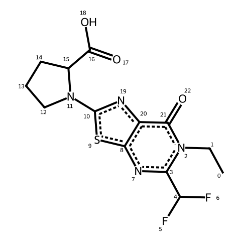 CCn1c(C(F)F)nc2sc(N3CCCC3C(=O)O)nc2c1=O